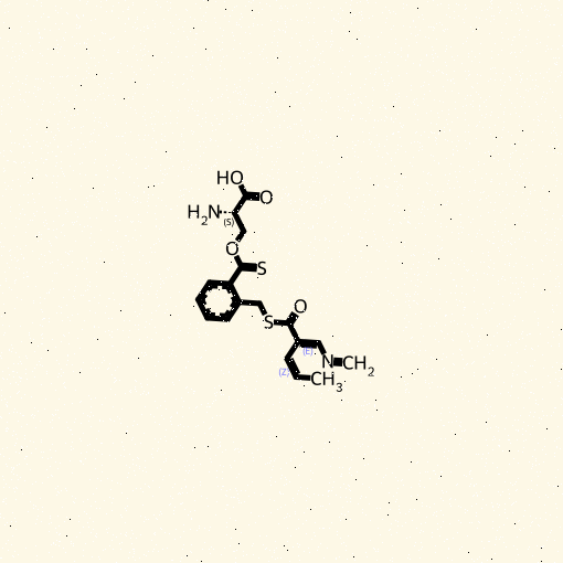 C=N/C=C(\C=C/C)C(=O)SCc1ccccc1C(=S)OC[C@H](N)C(=O)O